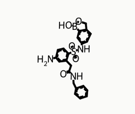 Nc1ccc(S(=O)(=O)Nc2ccc3c(c2)B(O)OC3)c(CC(=O)NCc2ccccc2)c1